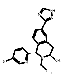 C[C@@H]1Cc2cc(-c3nc[nH]n3)ccc2[C@@H](c2ccc(Br)cn2)N1CC(F)(F)F